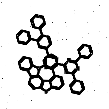 c1ccc(-c2nc(-c3ccccc3)nc(-c3cc(-c4ccc(-c5ccccc5)c(-c5ccccc5)c4)cnc3-c3cccc4sc5ccc6c7ccccc7n(-c7ccccc7)c6c5c34)n2)cc1